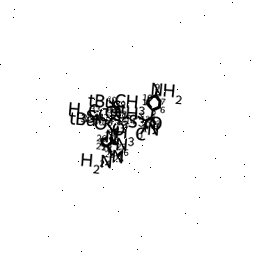 Cc1noc(-c2ccc(N)cc2)c1CSC[C@H]1O[C@@H](n2ccc3c(N)ncnc32)[C@H](O[Si](C)(C)C(C)(C)C)[C@@H]1O[Si](C)(C)C(C)(C)C